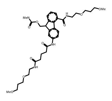 CNC(=O)OCC1c2cc(NC(=O)CCCC(=O)NCCOCCCOC)ccc2-c2c(C(=O)NCCOCCCOC)cccc21